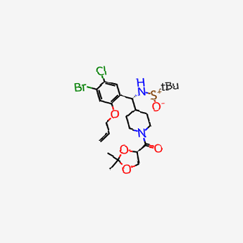 C=CCOc1cc(Br)c(Cl)cc1[C@H](N[S+]([O-])C(C)(C)C)C1CCN(C(=O)[C@H]2COC(C)(C)O2)CC1